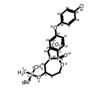 CC(C)(C)[Si](C)(C)OC1CCOP(=O)(c2ccc(Oc3ccc(Cl)cc3)cc2)N(CC(=O)O)C1